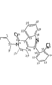 CCC(C)N(C(=O)c1cc(-c2ccccc2Cl)nc2ccccc12)C(C)CC